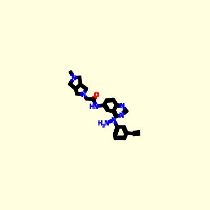 C#Cc1cccc(N(N)c2ncnc3ccc(NC(=O)CN4CC5CN(C)CC5C4)cc23)c1